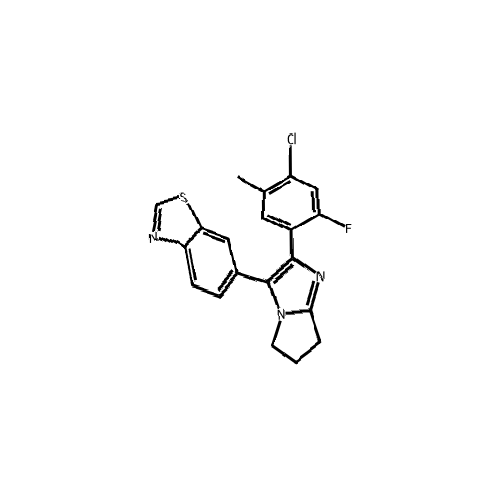 Cc1cc(-c2nc3n(c2-c2ccc4ncsc4c2)CCC3)c(F)cc1Cl